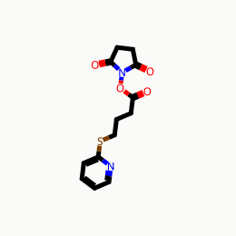 O=C(CCCSc1ccccn1)ON1C(=O)CCC1=O